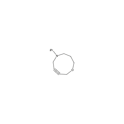 CC(C)N1CC#CCOCCC1